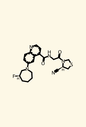 N#C[C@@H]1CSCN1C(=O)CNC(=O)c1ccnc2ccc(N3CCCC[C@@H](F)C3)cc12